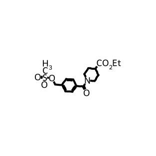 CCOC(=O)C1CCN(C(=O)c2ccc(COS(C)(=O)=O)cc2)CC1